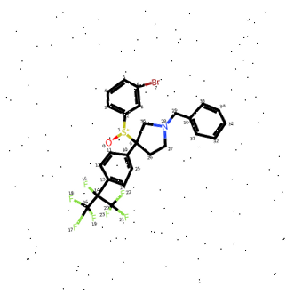 [O-][S+](c1cccc(Br)c1)C1(c2ccc(C(F)(C(F)(F)F)C(F)(F)F)cc2)CCN(Cc2ccccc2)C1